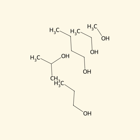 CC(C)O.CCCCO.CCCO.CCO.CO